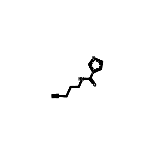 C#CCCCNC(=O)n1ccnc1